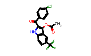 CC(=O)Oc1c(C(=O)c2ccc(Cl)cc2)[nH]c2ccc(C(F)(F)F)cc12